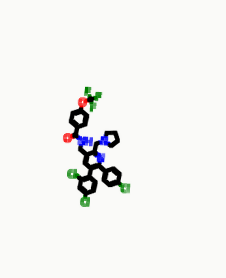 O=C(NCc1cc(-c2ccc(Cl)cc2Cl)c(-c2ccc(Cl)cc2)nc1CN1CCCC1)c1ccc(OC(F)(F)F)cc1